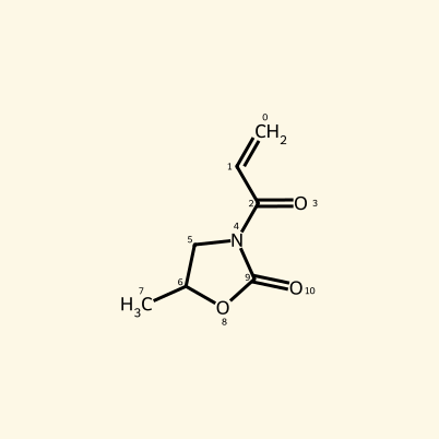 C=CC(=O)N1CC(C)OC1=O